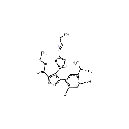 CCNC(=O)c1noc(-c2cc(C(C)C)c(O)cc2O)c1-c1cc(/C=N/OC)no1